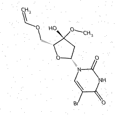 C=COC[C@H]1O[C@@H](n2cc(Br)c(=O)[nH]c2=O)C[C@@]1(O)OC